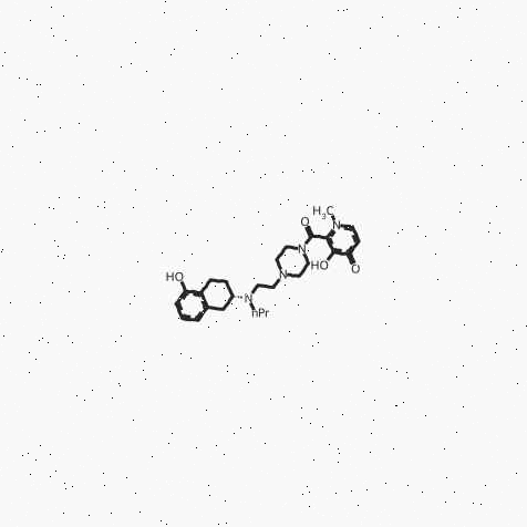 CCCN(CCN1CCN(C(=O)c2c(O)c(=O)ccn2C)CC1)[C@H]1CCc2c(O)cccc2C1